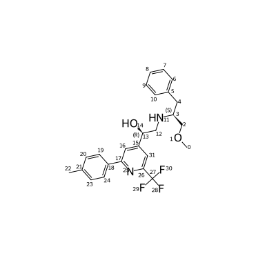 COC[C@H](Cc1ccccc1)NC[C@H](O)c1cc(-c2ccc(C)cc2)nc(C(F)(F)F)c1